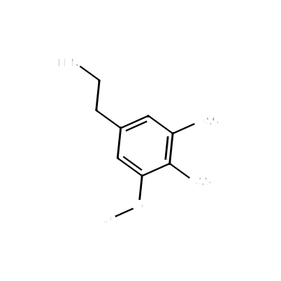 CCOc1cc(CCN)cc(OC)c1SC